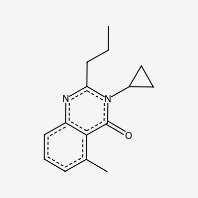 CCCc1nc2cccc(C)c2c(=O)n1C1CC1